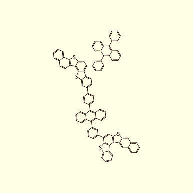 c1ccc(-c2c3ccccc3c(-c3cccc(-c4cc5sc6c7ccccc7ccc6c5c5sc6cc(-c7ccc(-c8c9ccccc9c(-c9cccc(-c%10cc%11sc%12cc%13ccccc%13cc%12c%11c%11c%10sc%10ccccc%10%11)c9)c9ccccc89)cc7)ccc6c45)c3)c3ccccc23)cc1